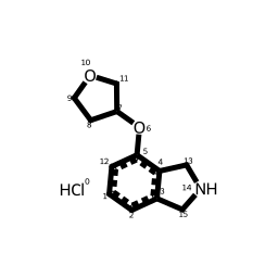 Cl.c1cc2c(c(OC3CCOC3)c1)CNC2